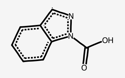 O=C(O)n1n[c]c2ccccc21